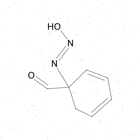 O=CC1(N=NO)C=CC=CC1